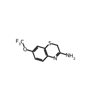 NC1=Nc2ccc(OC(F)(F)F)cc2SC1